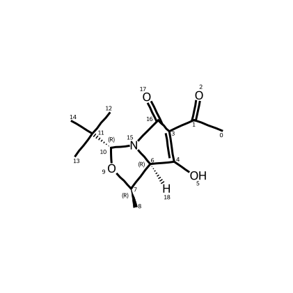 CC(=O)C1=C(O)[C@H]2[C@@H](C)O[C@H](C(C)(C)C)N2C1=O